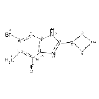 Cc1c(Br)cc2[nH]c(C3CCC3)nc2c1F